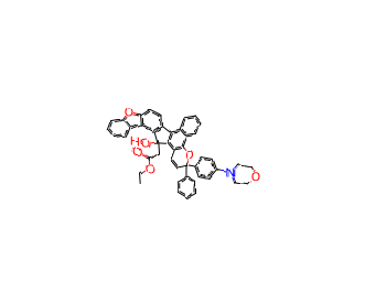 CCOC(=O)CC1(O)c2c3c(c4ccccc4c2-c2ccc4oc5ccccc5c4c21)OC(c1ccccc1)(c1ccc(N2CCOCC2)cc1)C=C3